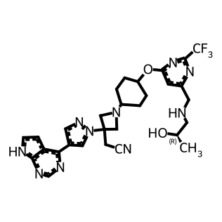 C[C@@H](O)CNCc1cc(OC2CCC(N3CC(CC#N)(n4cc(-c5ncnc6[nH]ccc56)cn4)C3)CC2)nc(C(F)(F)F)n1